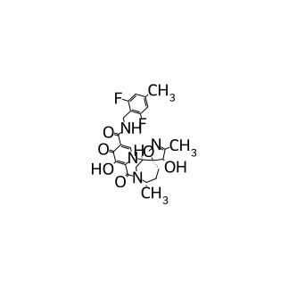 CC1=NO[C@@]2(CC[C@H](C)N3C[C@H]2n2cc(C(=O)NCc4c(F)cc(C)cc4F)c(=O)c(O)c2C3=O)[C@H]1O